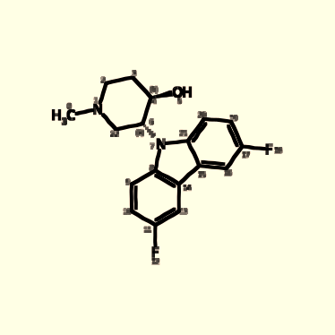 CN1CC[C@@H](O)[C@H](n2c3ccc(F)cc3c3cc(F)ccc32)C1